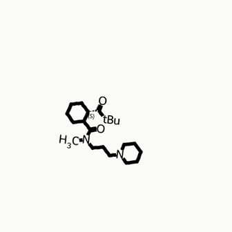 CN(CCCN1CCCCC1)C(=O)C1CCCC[C@@H]1C(=O)C(C)(C)C